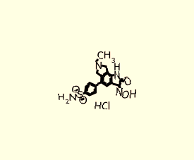 CCN1Cc2c(-c3ccc(S(N)(=O)=O)cc3)cc3c(c2C1)NC(=O)C3=NO.Cl